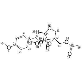 COc1ccc(CO[C@H]2[C@H]3OC[C@]2(COC(C)=O)OC3OC)cc1